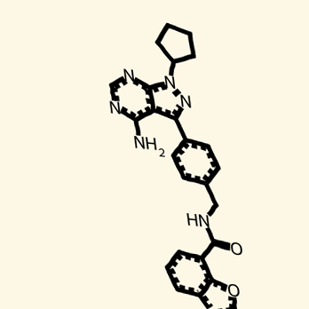 Nc1ncnc2c1c(-c1ccc(CNC(=O)c3cccc4ncoc34)cc1)nn2C1CCCC1